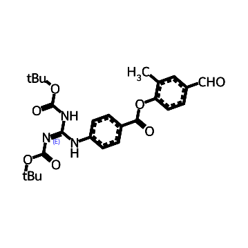 Cc1cc(C=O)ccc1OC(=O)c1ccc(N/C(=N\C(=O)OC(C)(C)C)NC(=O)OC(C)(C)C)cc1